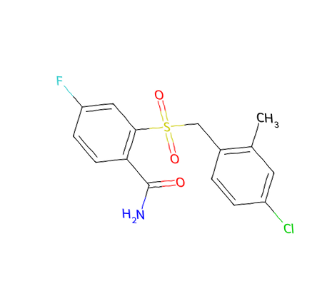 Cc1cc(Cl)ccc1CS(=O)(=O)c1cc(F)ccc1C(N)=O